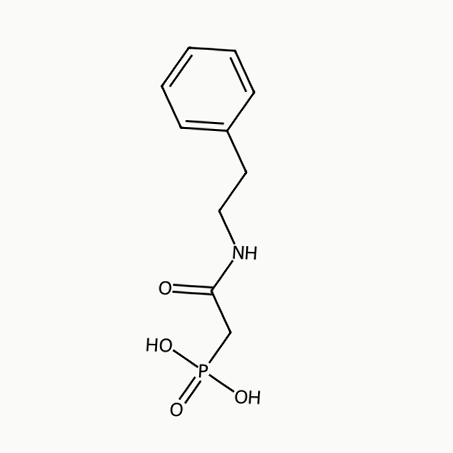 O=C(CP(=O)(O)O)NCCc1ccccc1